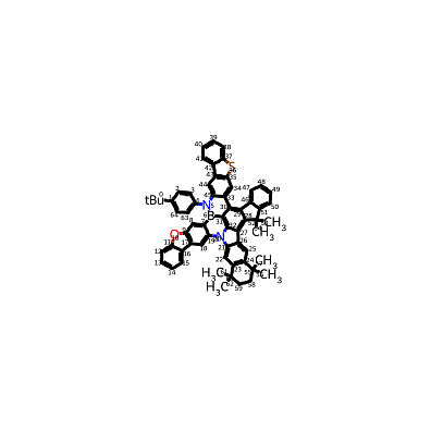 CC(C)(C)c1ccc(N2B3c4cc5oc6ccccc6c5cc4-n4c5cc6c(cc5c5c7c(c(c3c54)-c3cc4sc5ccccc5c4cc32)-c2ccccc2C7(C)C)C(C)(C)CCC6(C)C)cc1